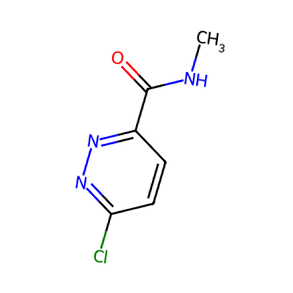 CNC(=O)c1ccc(Cl)nn1